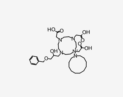 O=C(O)CN1CCN(CC(=O)O)CC[N+](CC(=O)O)(N2CCCCCCCCCCC2)CCN(CC(O)COCc2ccccc2)CC1